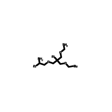 CCC(C)COCC(CC)(COCN)COCC(N)CC